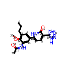 CCCc1cc(-c2ccc(-c3nnn[nH]3)c(=O)[nH]2)cc(NC(C)=O)c1OC